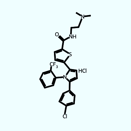 CN(C)CCNC(=O)c1ccc(-c2ccc(-c3ccc(Cl)cc3)n2-c2ccccc2C(F)(F)F)s1.Cl